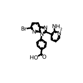 Nc1ncccc1-c1nc2ccc(Br)nc2n1-c1ccc(C(=O)O)cc1